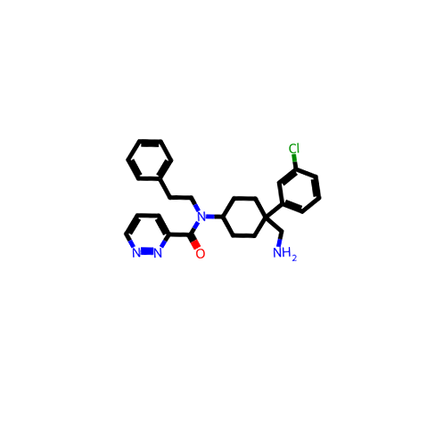 NCC1(c2cccc(Cl)c2)CCC(N(CCc2ccccc2)C(=O)c2cccnn2)CC1